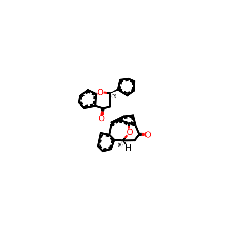 O=C1C[C@H](c2ccccc2)Oc2ccccc21.O=C1C[C@H]2Oc3cc(ccc31)-c1ccccc12